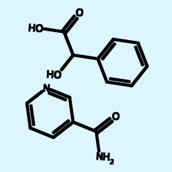 NC(=O)c1cccnc1.O=C(O)C(O)c1ccccc1